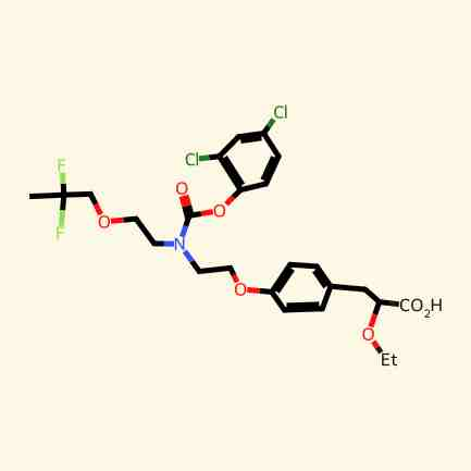 CCOC(Cc1ccc(OCCN(CCOCC(C)(F)F)C(=O)Oc2ccc(Cl)cc2Cl)cc1)C(=O)O